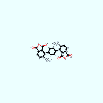 O=C1OC(=O)c2c1ccc(C(=O)O)c2-c1ccc(-c2c(C(=O)O)ccc3c2C(=O)OC3=O)cc1